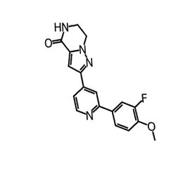 COc1ccc(-c2cc(-c3cc4n(n3)CCNC4=O)ccn2)cc1F